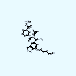 CC(c1cc2c(c(OCCCCO)c1)OCC2)N(C(=O)[C@H]1CN(C(=O)OC(C)(C)C)CCO1)C1CC1